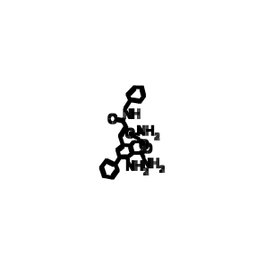 NC(=O)c1c(N)c(-c2ccccc2)cc(C=CC(=O)NCc2ccccc2)c1S(N)(=O)=O